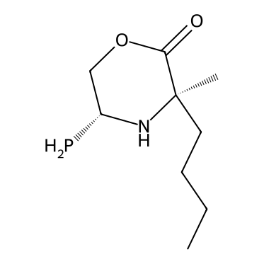 CCCC[C@@]1(C)N[C@H](P)COC1=O